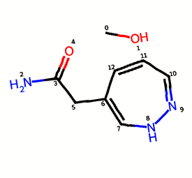 CO.NC(=O)CC1=CNN=CC=C1